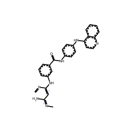 C=N/C(=C\C(N)=N/C)Nc1cccc(C(=O)Nc2ccc(Nc3ccnc4ccccc34)cc2)c1